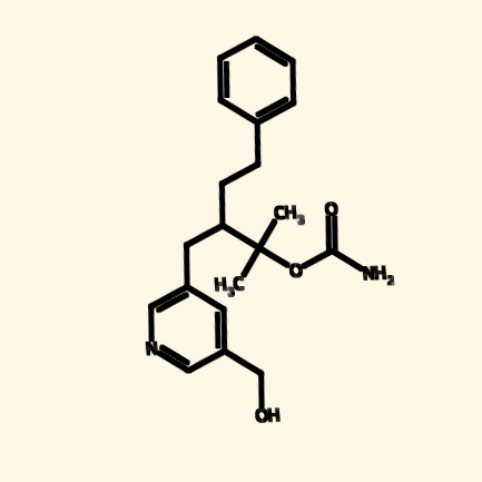 CC(C)(OC(N)=O)C(CCc1ccccc1)Cc1cncc(CO)c1